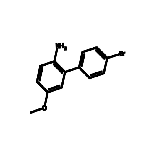 COc1ccc(N)c(-c2ccc(Br)cc2)c1